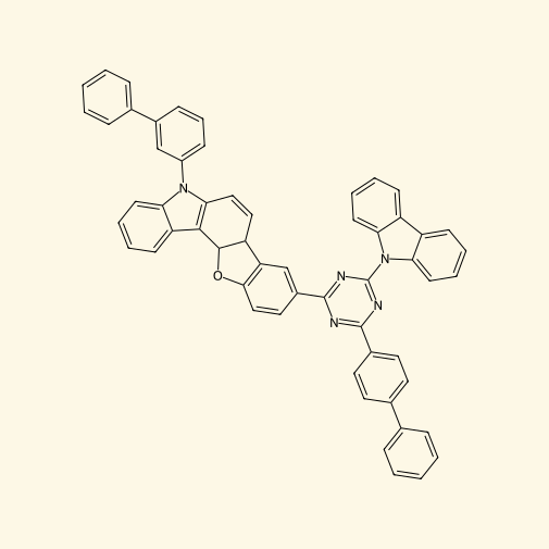 C1=CC2c3cc(-c4nc(-c5ccc(-c6ccccc6)cc5)nc(-n5c6ccccc6c6ccccc65)n4)ccc3OC2c2c1n(-c1cccc(-c3ccccc3)c1)c1ccccc21